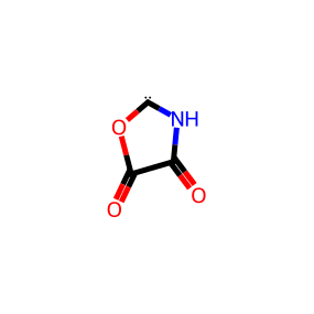 O=C1N[C]OC1=O